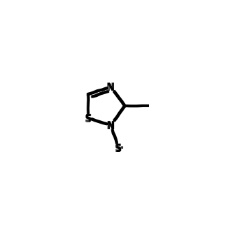 CC1N=CSN1[S]